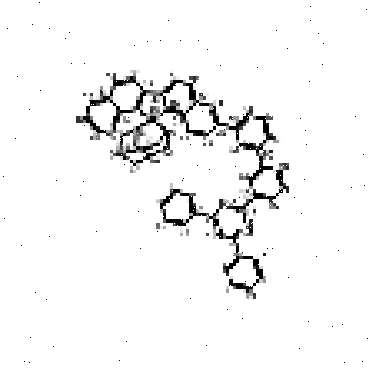 c1ccc(-c2nc(-c3ccccc3)nc(-c3cccc(-c4cccc(-c5ccc6c7c(ccc6c5)-c5ccc6ccccc6c5C75C6CC7CC(C6)CC5C7)c4)c3)n2)cc1